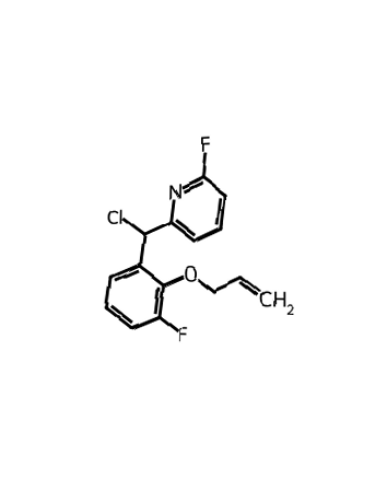 C=CCOc1c(F)cccc1C(Cl)c1cccc(F)n1